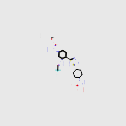 CC(C)OC(=O)Nc1ccc(-c2cnc([C@H]3CC[C@H](NC(=O)O)CC3)s2)c(NC(=O)C(F)(F)F)c1